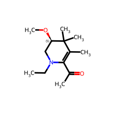 CCN1C[C@@H](OC)C(C)(C)C(C)=C1C(C)=O